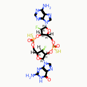 Nc1nc2c(ncn2[C@@H]2O[C@@H]3CO[P@](=O)(S)O[C@H]4[C@@H](F)[C@H](n5cnc6c(N)ncnc65)O[C@@H]4CO[P@@](=O)(S)O[C@@H]2[C@@H]3F)c(=O)[nH]1